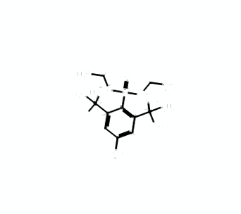 CCOP(=O)(OCC)c1c(C(C)(C)C)cc(C)cc1C(C)(C)C